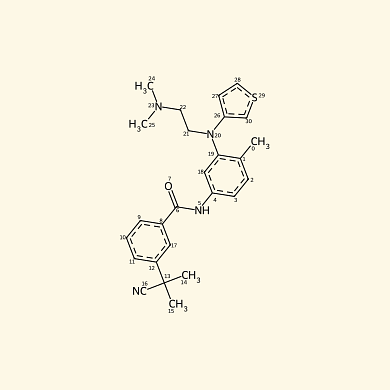 Cc1ccc(NC(=O)c2cccc(C(C)(C)C#N)c2)cc1N(CCN(C)C)c1ccsc1